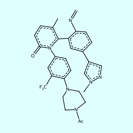 C=Nc1ccc(-c2cnn(C)c2)cc1-c1c(C)ccc(=O)n1-c1ccc(N2CCN(C(C)=O)CC2)c(C(F)(F)F)c1